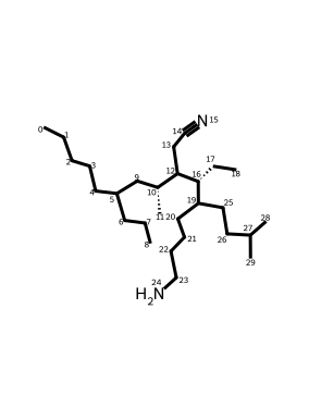 CCCCCC(CCC)C[C@@H](C)C(CC#N)[C@H](CC)C(CCCCN)CCC(C)C